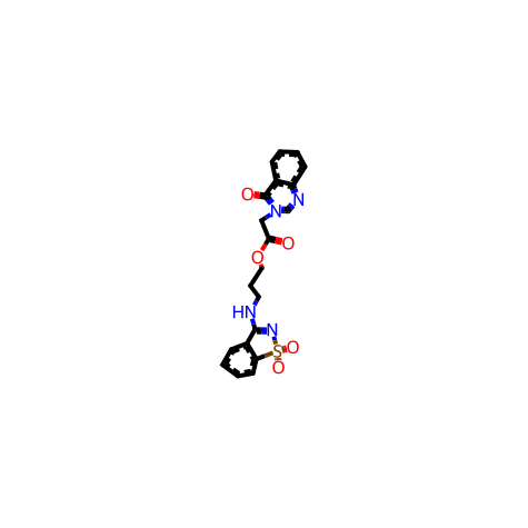 O=C(Cn1cnc2ccccc2c1=O)OCCCNC1=NS(=O)(=O)c2ccccc21